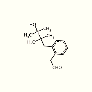 CC(C)(Cc1ccccc1CC=O)[Si](C)(C)O